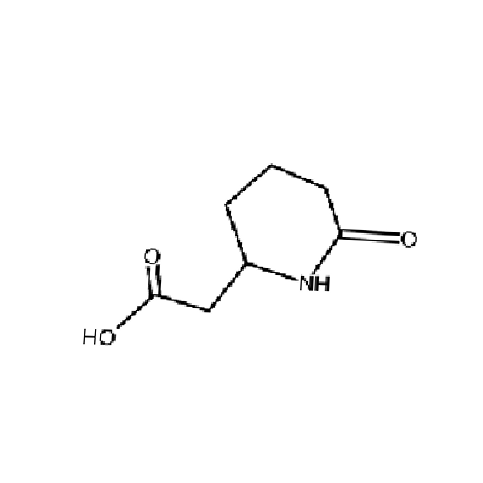 O=C(O)CC1CCCC(=O)N1